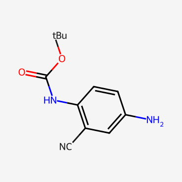 CC(C)(C)OC(=O)Nc1ccc(N)cc1C#N